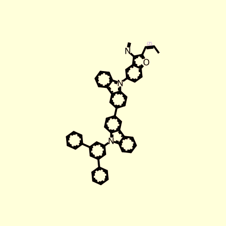 C=Nc1c(/C=C\C)oc2ccc(-n3c4ccccc4c4cc(-c5ccc6c(c5)c5ccccc5n6-c5cc(-c6ccccc6)cc(-c6ccccc6)c5)ccc43)cc12